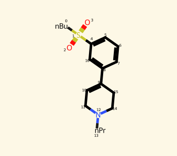 CCCCS(=O)(=O)c1cccc(C2=CCN(CCC)CC2)c1